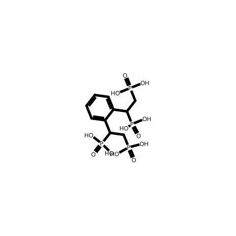 O=P(O)(O)CC(c1ccccc1C(CP(=O)(O)O)P(=O)(O)O)P(=O)(O)O